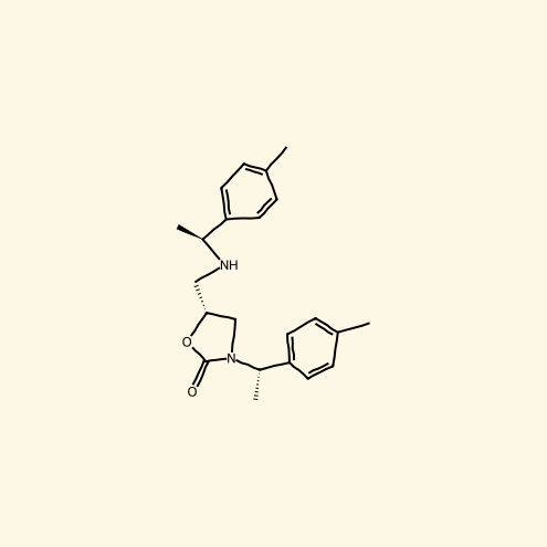 Cc1ccc([C@H](C)NC[C@@H]2CN([C@@H](C)c3ccc(C)cc3)C(=O)O2)cc1